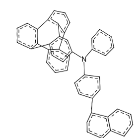 c1ccc(N(c2ccc(-c3cccc4ccccc34)cc2)c2ccc3c(c2)-c2c4cccc2-c2cccc-3c2-c2ccccc2-4)cc1